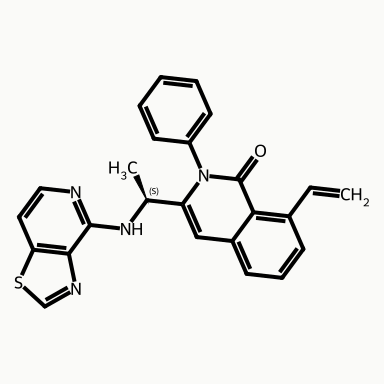 C=Cc1cccc2cc([C@H](C)Nc3nccc4scnc34)n(-c3ccccc3)c(=O)c12